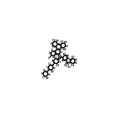 Cc1ccccc1-c1cc(-c2ccc(-c3ccccc3)cc2)ccc1N(c1ccc(-c2ccccc2-c2ccccc2)cc1)c1ccc2c(c1)C(C)(C)c1ccccc1-2